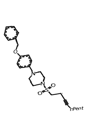 CCCCCC#C[CH]CS(=O)(=O)N1CCN(c2ccc(OCc3ccccc3)cc2)CC1